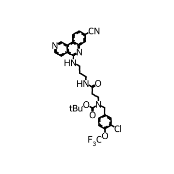 CC(C)(C)OC(=O)N(CCC(=O)NCCCNc1nc2cc(C#N)ccc2c2cnccc12)Cc1ccc(OC(F)(F)F)c(Cl)c1